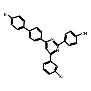 N#Cc1ccc(-c2nc(-c3ccc(-c4ccc(Br)cc4)cc3)cc(-c3cccc(Br)c3)n2)cc1